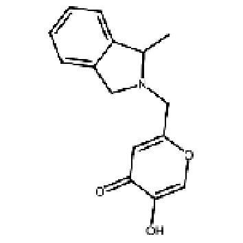 CC1c2ccccc2CN1Cc1cc(=O)c(O)co1